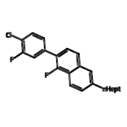 CCCCCCCc1ccc2c(F)c(-c3ccc(Cl)c(F)c3)ccc2c1